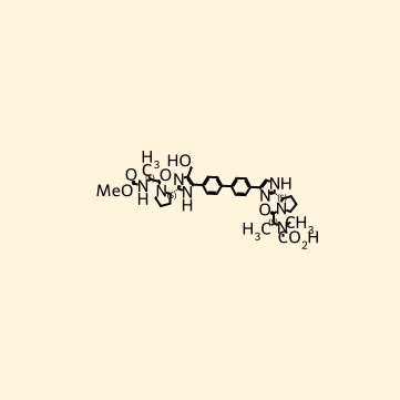 COC(=O)N[C@@H](C)C(=O)N1CCC[C@H]1c1nc(CO)c(-c2ccc(-c3ccc(-c4c[nH]c([C@@H]5CCCN5C(=O)[C@H](C)N(C)C(=O)O)n4)cc3)cc2)[nH]1